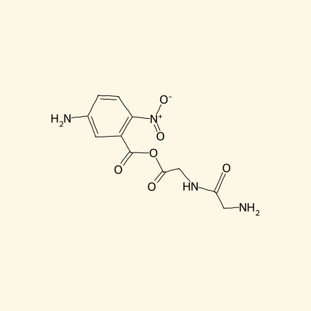 NCC(=O)NCC(=O)OC(=O)c1cc(N)ccc1[N+](=O)[O-]